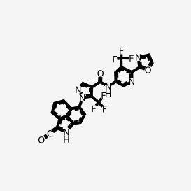 O=C=c1[nH]c2ccc(-n3ncc(C(=O)Nc4cnc(-c5ncco5)c(C(F)(F)F)c4)c3C(F)(F)F)c3cccc1c23